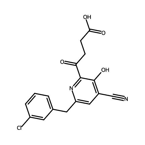 N#Cc1cc(Cc2cccc(Cl)c2)nc(C(=O)CCC(=O)O)c1O